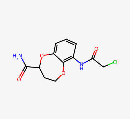 NC(=O)C1CCOc2c(NC(=O)CCl)c[c]cc2O1